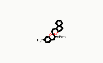 CCCCCC1=Cc2ccc(C)cc2OC12C=Cc1c(ccc3ccccc13)O2